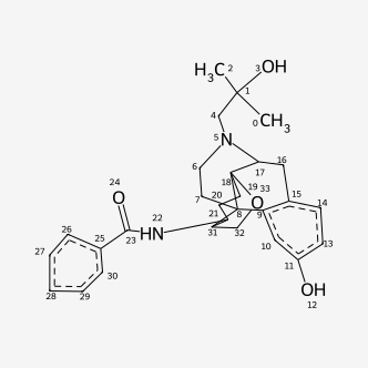 CC(C)(O)CN1CCC23c4cc(O)ccc4CC1C21CCC(NC(=O)c2ccccc2)C3CO1